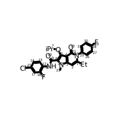 CCc1cc2c(c(OC(C)C)c(C(=O)Nc3ccc(Cl)cc3F)n2C)c(=O)n1-c1ccc(F)cc1